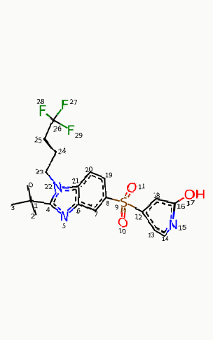 CC(C)(C)c1nc2cc(S(=O)(=O)c3ccnc(O)c3)ccc2n1CCCC(F)(F)F